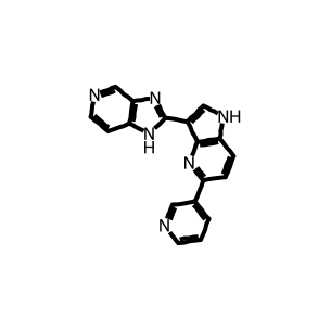 c1cncc(-c2ccc3[nH]cc(-c4nc5cnccc5[nH]4)c3n2)c1